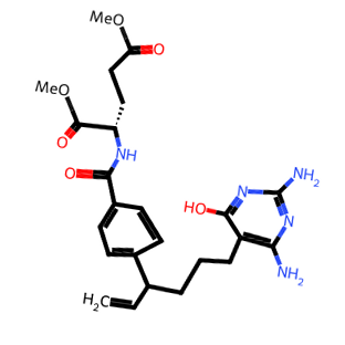 C=CC(CCCc1c(N)nc(N)nc1O)c1ccc(C(=O)N[C@@H](CCC(=O)OC)C(=O)OC)cc1